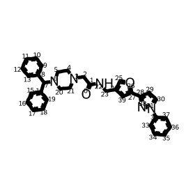 O=C(CN1CCN(C(c2ccccc2)c2ccccc2)CC1)NCc1coc(-c2ccn(-c3ccccc3)n2)c1